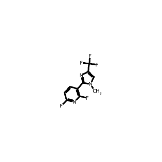 Cn1cc(C(F)(F)F)nc1-c1ccc(F)nc1F